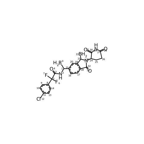 BC(NC(=O)C(F)(F)c1ccc(Cl)cc1)c1ccc2c(c1)C(B)N(C1CCC(=O)NC1=O)C2=O